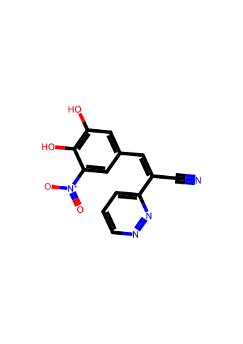 N#C/C(=C/c1cc(O)c(O)c([N+](=O)[O-])c1)c1cccnn1